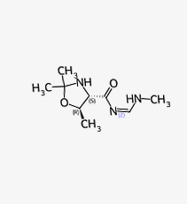 CN/C=N\C(=O)[C@H]1NC(C)(C)O[C@@H]1C